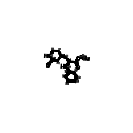 CC(C)(C)OC(=O)C(CN1CCNC(=O)C1)Nc1ccncc1